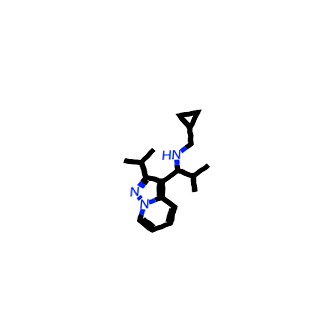 CC(C)c1nn2ccccc2c1C(NCC1CC1)C(C)C